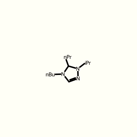 CCCCN1C=NN(C(C)C)C1CCC